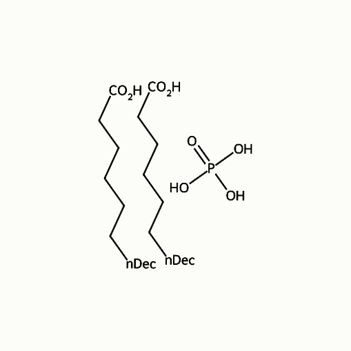 CCCCCCCCCCCCCCCC(=O)O.CCCCCCCCCCCCCCCC(=O)O.O=P(O)(O)O